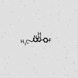 CCCc1cnc2[nH]c(-c3ccc(F)cc3)cc2c1